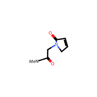 CNC(=O)CN1CC=CC1=O